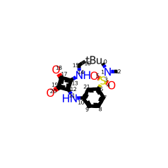 CN(C)S(=O)(=O)c1cccc(Nc2c(NCC(C)(C)C)c(=O)c2=O)c1